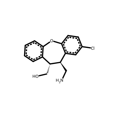 NC[C@@H]1c2cc(Cl)ccc2Oc2ccccc2[C@H]1CO